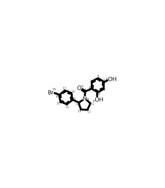 O=C(c1ccc(O)cc1O)N1CCCC1c1ccc(Br)cc1